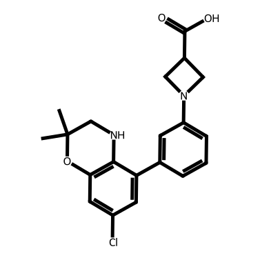 CC1(C)CNc2c(cc(Cl)cc2-c2cccc(N3CC(C(=O)O)C3)c2)O1